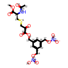 COC(=O)[C@H](CSCC(=O)C(=O)OCc1cc(CO[N+](=O)[O-])cc(CO[N+](=O)[O-])c1)NC(C)=O